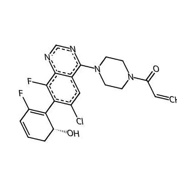 C=CC(=O)N1CCN(c2ncnc3c(F)c(C4=C(F)C=CC[C@H]4O)c(Cl)cc23)CC1